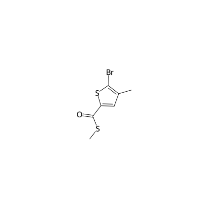 CSC(=O)c1cc(C)c(Br)s1